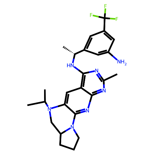 Cc1nc(N[C@H](C)c2cc(N)cc(C(F)(F)F)c2)c2cc3c(nc2n1)N1CCCC1CN3C(C)C